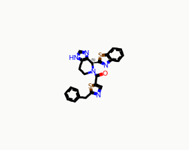 O=C(c1cnc(Cc2ccccc2)s1)N1CCc2[nH]cnc2[C@H]1c1nc2ccccc2s1